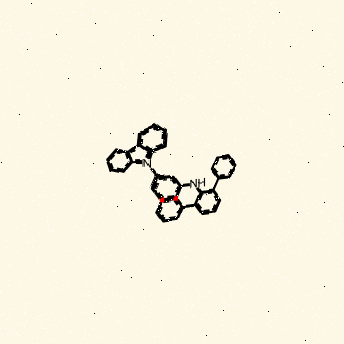 c1ccc(-c2cccc(-c3ccccc3)c2Nc2cccc(-n3c4ccccc4c4ccccc43)c2)cc1